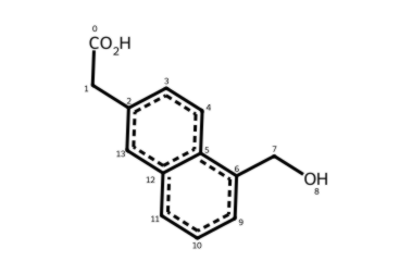 O=C(O)Cc1ccc2c(CO)cccc2c1